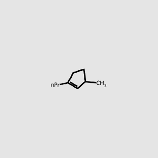 CCCC1=CC(C)CC1